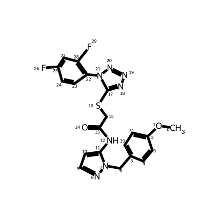 COc1ccc(Cn2nccc2NC(=O)CSc2nnnn2-c2ccc(F)cc2F)cc1